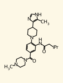 Cc1[nH]cnc1C1CCN(c2ccc(C(=O)N3CCN(C)CC3)cc2NC(=O)CC(C)C)CC1